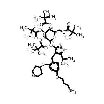 CC(C)c1[nH]nc(O[C@@H]2O[C@H](COC(=O)C(C)(C)C)[C@@H](OC(=O)C(C)(C)C)[C@H](OC(=O)C(C)(C)C)[C@H]2OC(=O)C(C)(C)C)c1Cc1ccc(OCCCN)cc1OC1CCOCC1